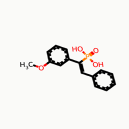 COc1cccc(C(=Cc2ccccc2)P(=O)(O)O)c1